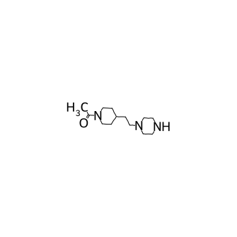 CC(=O)N1CCC(CCN2CCNCC2)CC1